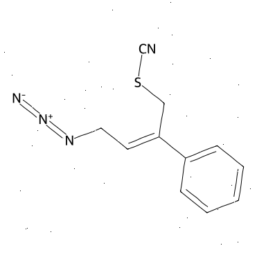 N#CSC/C(=C\CN=[N+]=[N-])c1ccccc1